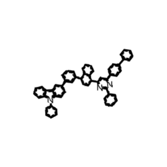 c1ccc(-c2ccc(-c3cc(-c4ccc(-c5cccc(-c6ccc7c(c6)c6ccccc6n7-c6ccccc6)c5)c5ccccc45)nc(-c4ccccc4)n3)cc2)cc1